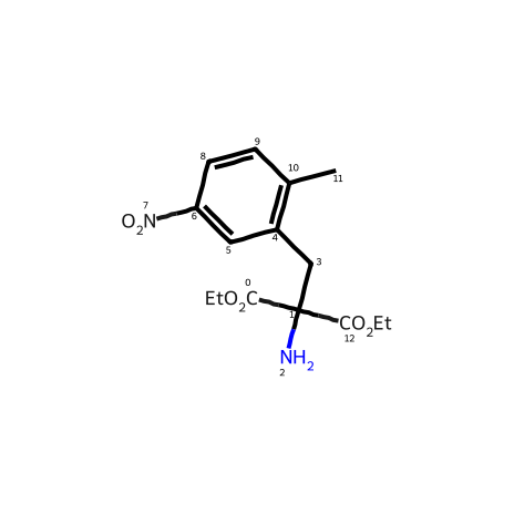 CCOC(=O)C(N)(Cc1cc([N+](=O)[O-])ccc1C)C(=O)OCC